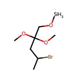 COC(CO[SiH3])(CC(C)Br)OC